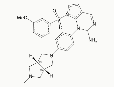 COc1cccc(S(=O)(=O)n2ccc3c2N(c2ccc(N4C[C@H]5CN(C)C[C@H]5C4)cc2)C(N)N=C3)c1